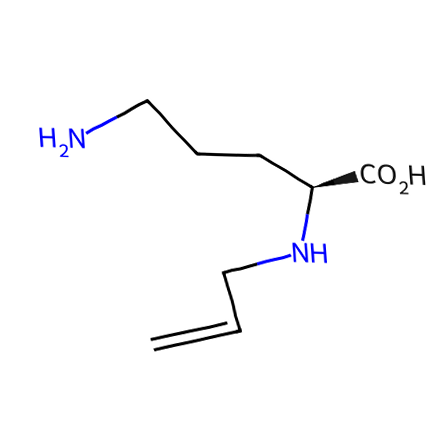 C=CCN[C@@H](CCCN)C(=O)O